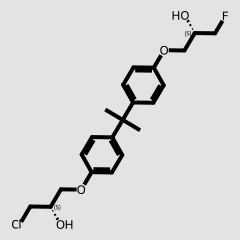 CC(C)(c1ccc(OC[C@H](O)CF)cc1)c1ccc(OC[C@H](O)CCl)cc1